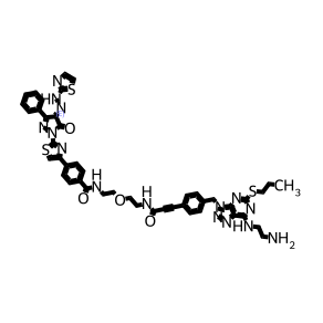 CCCSc1nc(NCCN)c2nnn(Cc3ccc(C#CC(=O)NCCOCCNC(=O)c4ccc(-c5csc(N6N=C(c7ccccc7)/C(=N\Nc7nccs7)C6=O)n5)cc4)cc3)c2n1